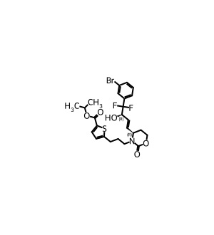 CC(C)OC(=O)c1ccc(CCCN2C(=O)OCC[C@@H]2C=C[C@@H](O)C(F)(F)c2cccc(Br)c2)s1